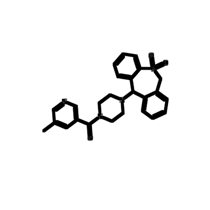 Cc1cncc(C(=O)N2CCN(C3c4ccccc4CS(=O)(=O)c4ccccc43)CC2)c1